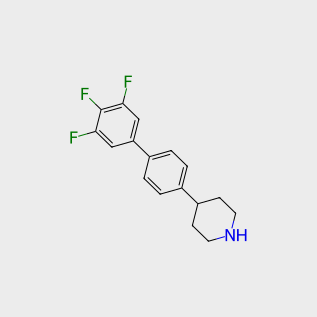 Fc1cc(-c2ccc(C3CCNCC3)cc2)cc(F)c1F